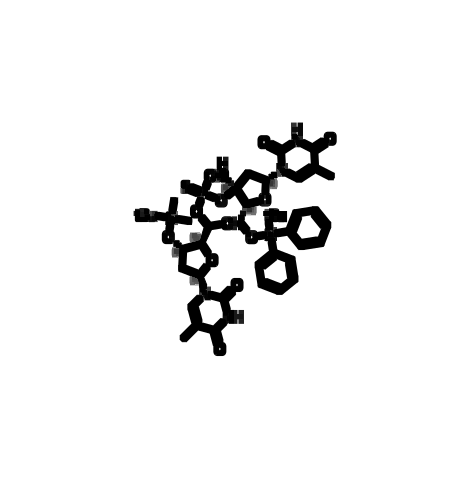 Cc1cn([C@H]2C[C@H](O[Si](C)(C)C(C)(C)C)[C@@H](C(O)OP(O)(=S)O[C@@]3(O)C[C@H](n4cc(C)c(=O)[nH]c4=O)O[C@@H]3CO[Si](c3ccccc3)(c3ccccc3)C(C)(C)C)O2)c(=O)[nH]c1=O